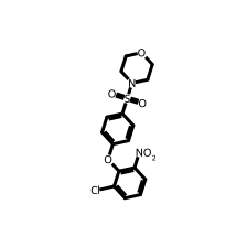 O=[N+]([O-])c1cccc(Cl)c1Oc1ccc(S(=O)(=O)N2CCOCC2)cc1